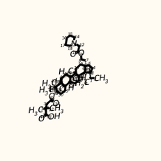 C=C(C)[C@@H]1CC[C@]2(CCOC(=O)CN3CCCCC3)CC[C@]3(C)[C@H](CC[C@@H]4[C@@]5(C)CC[C@H](OC(=O)CC(C)(C)C(=O)O)C(C)(C)[C@@H]5CC[C@]43C)[C@@H]12